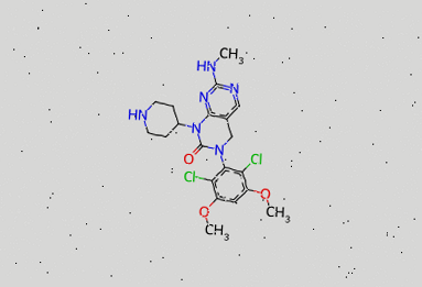 CNc1ncc2c(n1)N(C1CCNCC1)C(=O)N(c1c(Cl)c(OC)cc(OC)c1Cl)C2